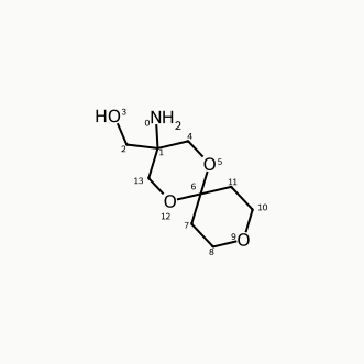 NC1(CO)COC2(CCOCC2)OC1